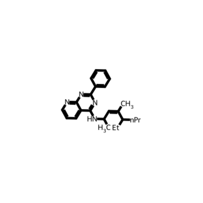 CCCC(CC)/C(C)=C\C(C)Nc1nc(-c2ccccc2)nc2ncccc12